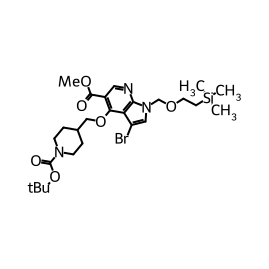 COC(=O)c1cnc2c(c(Br)cn2COCC[Si](C)(C)C)c1OCC1CCN(C(=O)OC(C)(C)C)CC1